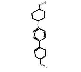 CCCCCCCCCCC1CC=C(c2ccc([C@H]3CC[C@H](CCCCC)CC3)cc2)CC1